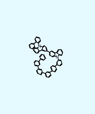 c1ccc(-c2cccc(-c3cccc(-c4cccc(-c5ccc(-c6cccc(-n7c8ccccc8c8cc(-c9ccc%10c(c9)c9ccccc9n%10-c9ccccc9-c9ccccc9)ccc87)c6)cc5)c4)c3)c2)cc1